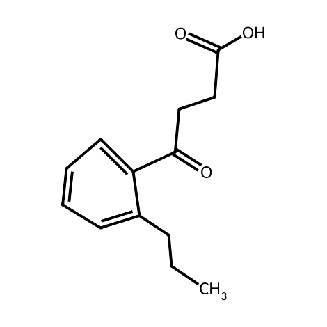 CCCc1ccccc1C(=O)CCC(=O)O